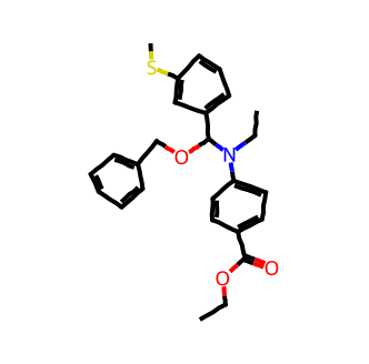 CCOC(=O)c1ccc(N(CC)C(OCc2ccccc2)c2cccc(SC)c2)cc1